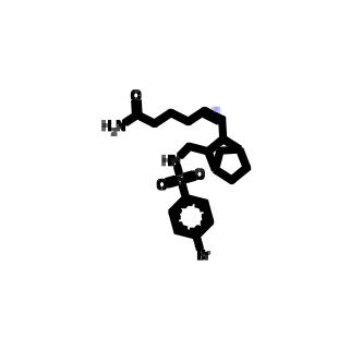 NC(=O)CCC/C=C\C1C2CCC(C2)C1CNS(=O)(=O)c1ccc(Br)cc1